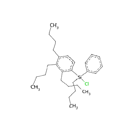 CCCCc1ccc([Si](Cl)(CCCC)c2ccccc2)c(CCCC)c1CCCC